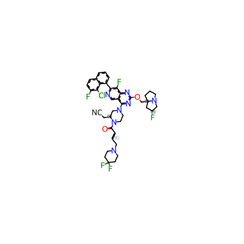 N#CC[C@H]1CN(c2nc(OC[C@@]34CCCN3C[C@H](F)C4)nc3c(F)c(-c4cccc5ccc(F)c(Cl)c45)ncc23)CCN1C(=O)/C=C/CN1CCC(F)(F)CC1